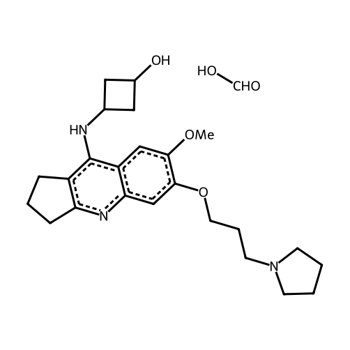 COc1cc2c(NC3CC(O)C3)c3c(nc2cc1OCCCN1CCCC1)CCC3.O=CO